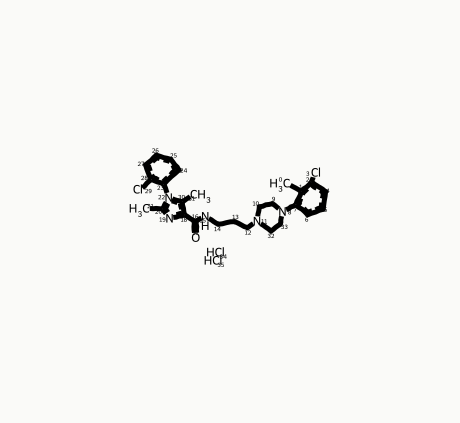 Cc1c(Cl)cccc1N1CCN(CCCNC(=O)c2nc(C)n(-c3ccccc3Cl)c2C)CC1.Cl.Cl